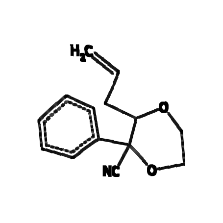 C=CCC1OCCOC1(C#N)c1ccccc1